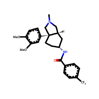 COc1ccc([C@@]23CC[C@@H](NC(=O)c4ccc(C(F)(F)F)cc4)C[C@@H]2CN(C)C3)cc1OC